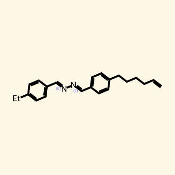 C=CCCCCc1ccc(/C=N/N=C/c2ccc(CC)cc2)cc1